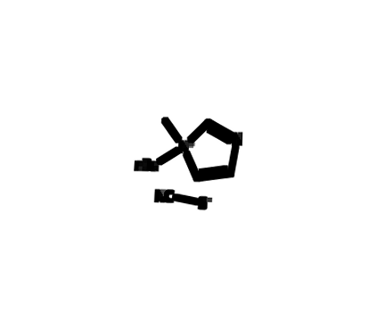 CCCC[N+]1(C)C=CN=C1.N#C[S-]